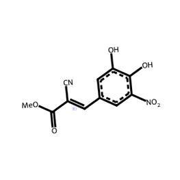 COC(=O)/C(C#N)=C/c1cc(O)c(O)c([N+](=O)[O-])c1